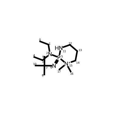 CCN(CC)P1(=NC(C)(C)C)NCCC[N+]1(C)C